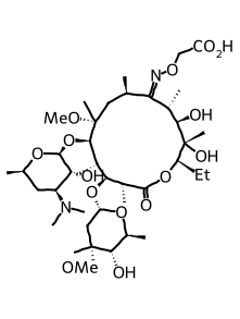 CC[C@H]1OC(=O)[C@H](C)[C@@H](O[C@H]2C[C@@](C)(OC)[C@@H](O)[C@H](C)O2)[C@H](C)[C@@H](O[C@@H]2O[C@H](C)C[C@H](N(C)C)[C@H]2O)[C@](C)(OC)C[C@@H](C)/C(=N/OCC(=O)O)[C@H](C)[C@@H](O)[C@]1(C)O